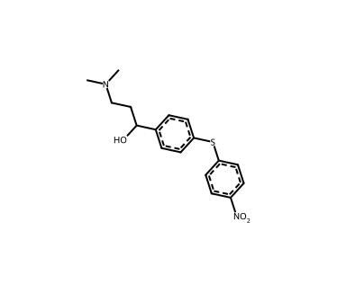 CN(C)CCC(O)c1ccc(Sc2ccc([N+](=O)[O-])cc2)cc1